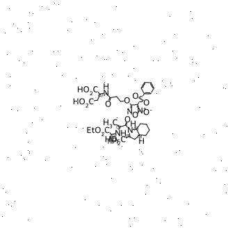 CCC[C@H](N[C@@H](C)C(=O)N1[C@H](C(=O)O)C[C@@H]2CCCC[C@@H]21)C(=O)OCC.O=C(O)C[C@H](NC(=O)CCOc1no[n+]([O-])c1S(=O)(=O)c1ccccc1)C(=O)O